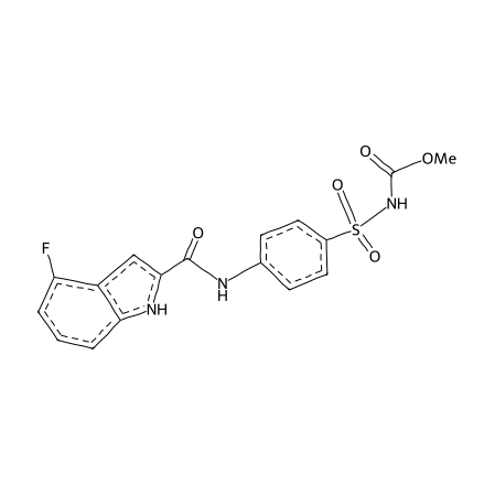 COC(=O)NS(=O)(=O)c1ccc(NC(=O)c2cc3c(F)cccc3[nH]2)cc1